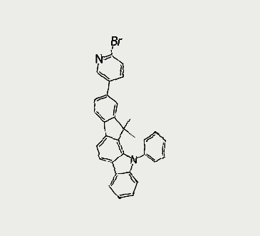 CC1(C)c2cc(-c3ccc(Br)nc3)ccc2-c2ccc3c4ccccc4n(-c4ccccc4)c3c21